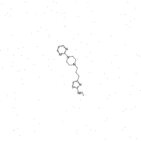 Nc1nc(CCCN2CCN(c3ncccn3)CC2)cs1